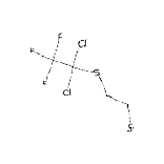 FC(F)(F)C(Cl)(Cl)SCC[S]